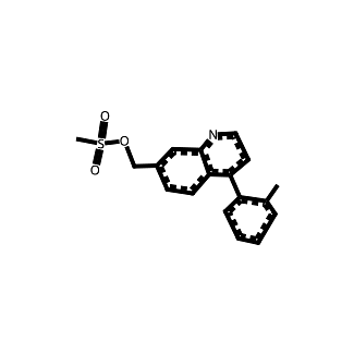 Cc1ccccc1-c1ccnc2cc(COS(C)(=O)=O)ccc12